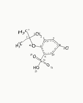 CC(C)(C)Oc1ccc(Cl)cc1S(=O)(=O)O